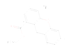 CCCCCCCCCCOC(=O)c1cccc2c1Cc1ccccc1O2.[Na]